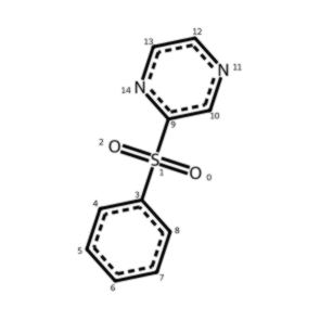 O=S(=O)(c1ccccc1)c1cnccn1